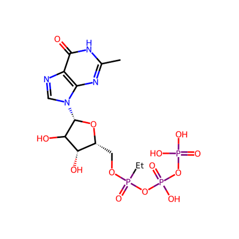 CCP(=O)(OC[C@H]1O[C@@H](n2cnc3c(=O)[nH]c(C)nc32)C(O)[C@H]1O)OP(=O)(O)OP(=O)(O)O